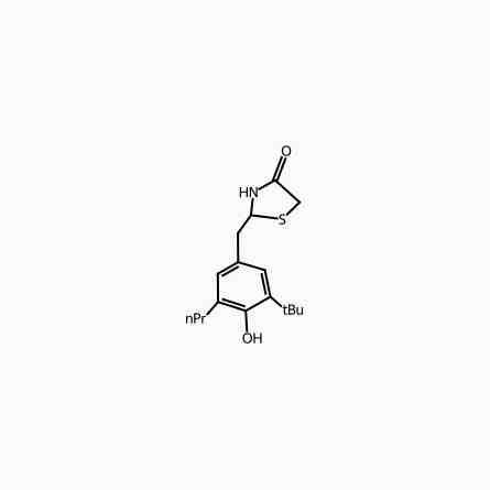 CCCc1cc(CC2NC(=O)CS2)cc(C(C)(C)C)c1O